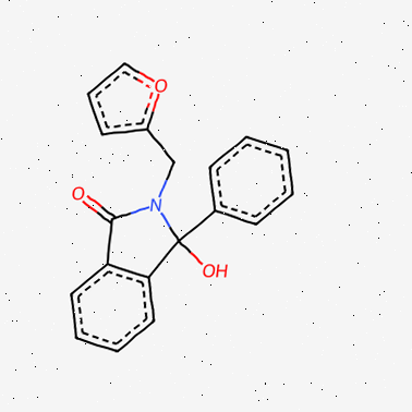 O=C1c2ccccc2C(O)(c2ccccc2)N1Cc1ccco1